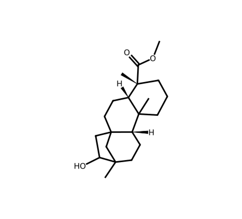 COC(=O)[C@]1(C)CCCC2(C)[C@@H]3CCC4(C)CC3(CC[C@@H]21)CC4O